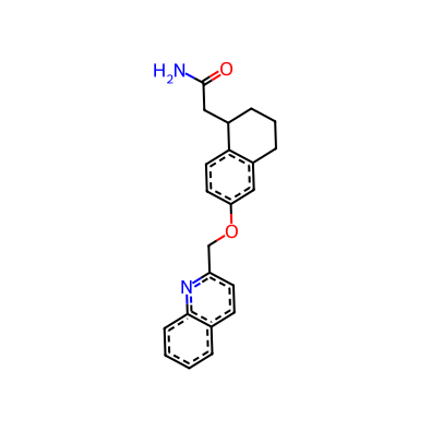 NC(=O)CC1CCCc2cc(OCc3ccc4ccccc4n3)ccc21